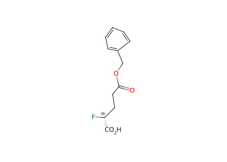 O=C(CC[C@@H](F)C(=O)O)OCc1ccccc1